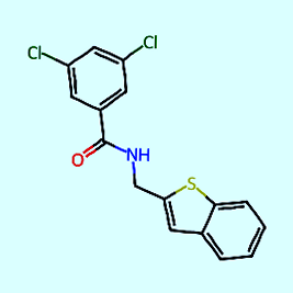 O=C(NCc1cc2ccccc2s1)c1cc(Cl)cc(Cl)c1